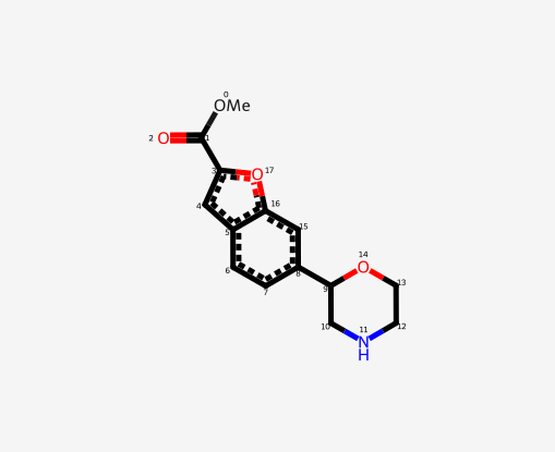 COC(=O)c1cc2ccc(C3CNCCO3)cc2o1